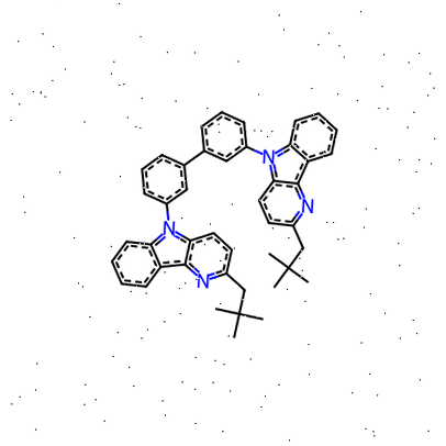 CC(C)(C)Cc1ccc2c(n1)c1ccccc1n2-c1cccc(-c2cccc(-n3c4ccccc4c4nc(CC(C)(C)C)ccc43)c2)c1